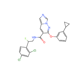 O=C(NCC(F)c1ccc(Cl)cc1Cl)c1cc2cncn2nc1Oc1cccc(C2CC2)c1